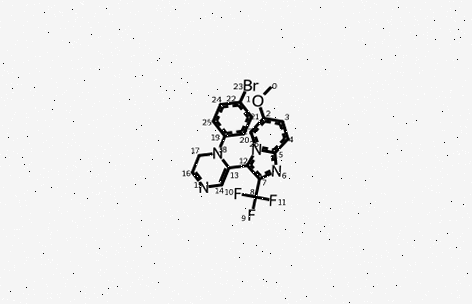 COc1ccc2nc(C(F)(F)F)c(C3=CN=CCN3c3ccc(Br)cc3)n2c1